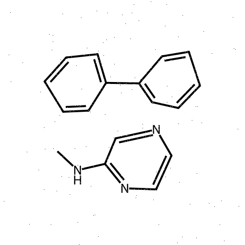 CNc1cnccn1.c1ccc(-c2ccccc2)cc1